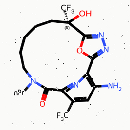 CCCN1CCCCC[C@](O)(C(F)(F)F)c2nnc(o2)-c2nc(c(C(F)(F)F)cc2N)C1=O